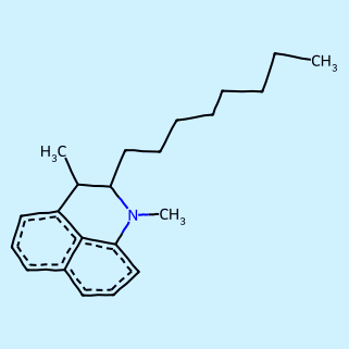 CCCCCCCCC1C(C)c2cccc3cccc(c23)N1C